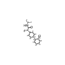 CC(C)NC(=O)C(F)c1ccc(-c2ccccc2Cl)cc1